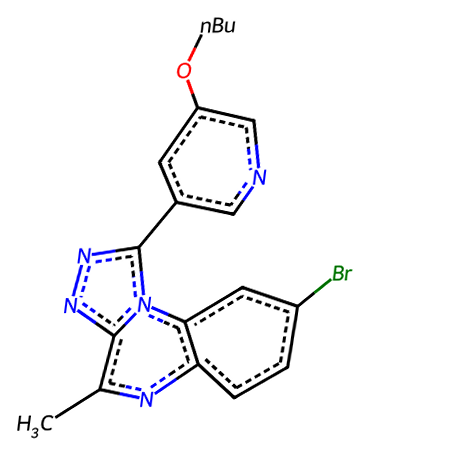 CCCCOc1cncc(-c2nnc3c(C)nc4ccc(Br)cc4n23)c1